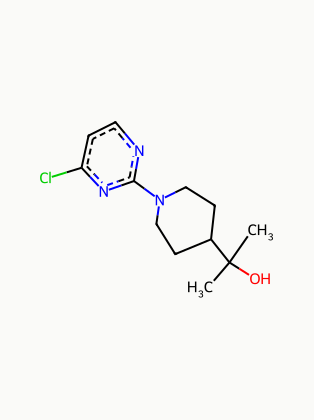 CC(C)(O)C1CCN(c2nccc(Cl)n2)CC1